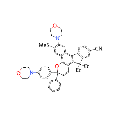 CCC1(CC)c2cc(C#N)ccc2-c2c1c1c(c3cc(SC)c(N4CCOCC4)cc23)OC(c2ccccc2)(c2ccc(N3CCOCC3)cc2)C=C1